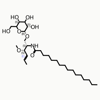 C/C=C/[C@H](OC)[C@H](CO[C@@H]1OC(CO)[C@@H](O)C(O)[C@@H]1O)NC(=O)CCCCCCCCCCCCCCC